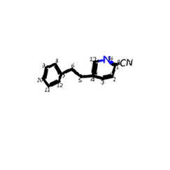 N#Cc1ccc(CCc2ccccc2)cn1